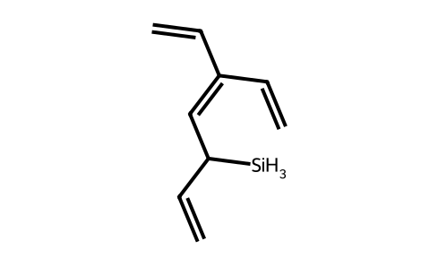 C=CC(C=C)=CC([SiH3])C=C